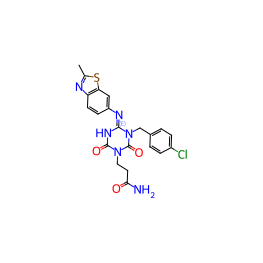 Cc1nc2ccc(/N=c3\[nH]c(=O)n(CCC(N)=O)c(=O)n3Cc3ccc(Cl)cc3)cc2s1